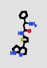 NC(CC(=O)Nc1ccc(-c2ccnc3[nH]ccc23)s1)c1ccccc1